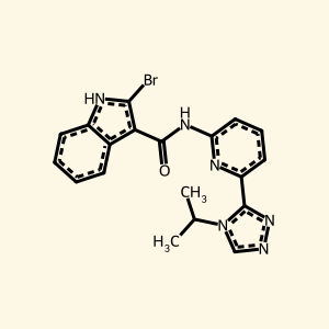 CC(C)n1cnnc1-c1cccc(NC(=O)c2c(Br)[nH]c3ccccc23)n1